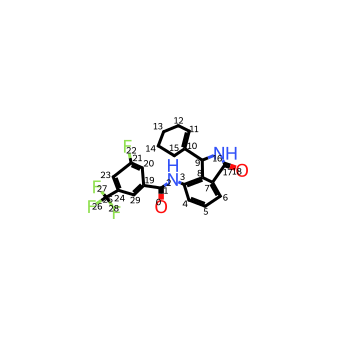 O=C(Nc1cccc2c1C(C1=CCCCC1)NC2=O)c1cc(F)cc(C(F)(F)F)c1